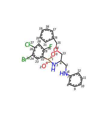 O=S(=O)(NC(CNc1ccccc1)COCc1ccccc1)c1cc(Br)c(Cl)cc1F